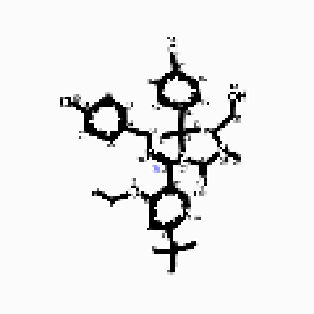 CCOc1cc(C(C)(C)C)ncc1/C(=N/Cc1ccc(Cl)cc1)N(C(=O)N(C)CCO)C(C)(C)c1ccc(Cl)cc1